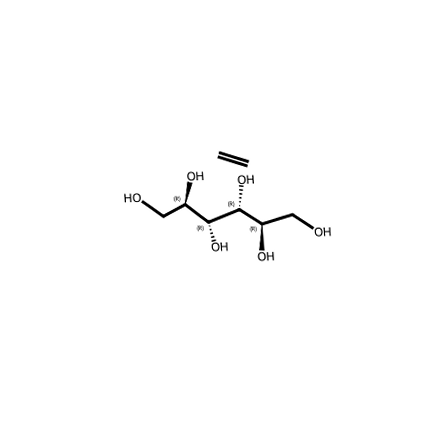 C=C.OC[C@@H](O)[C@@H](O)[C@H](O)[C@H](O)CO